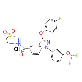 C[C@]1(NC(=O)c2ccc3c(c2)c(Oc2ccc(F)cc2)nn3-c2cccc(OC(F)F)c2)CCS(=O)(=O)C1